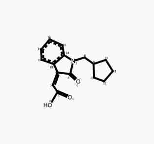 O=C(O)C=C1C(=O)N(CC2CCCC2)c2ccccc21